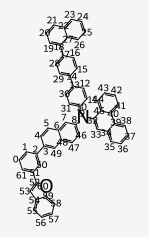 c1cc(-c2ccc3cc(N(c4ccc(-c5ccc(-c6cccc7ccccc67)cc5)cc4)c4cc5ccccc5c5ccccc45)ccc3c2)cc(-c2cc3ccccc3o2)c1